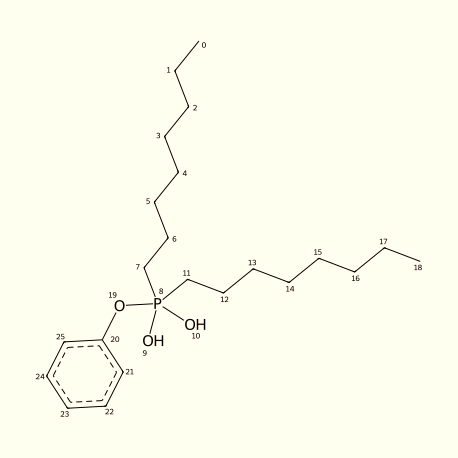 CCCCCCCCP(O)(O)(CCCCCCCC)Oc1ccccc1